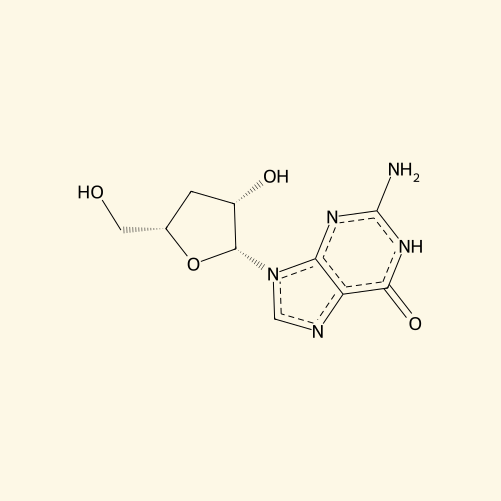 Nc1nc2c(ncn2[C@@H]2O[C@H](CO)C[C@@H]2O)c(=O)[nH]1